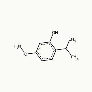 CC(C)c1ccc(ON)cc1O